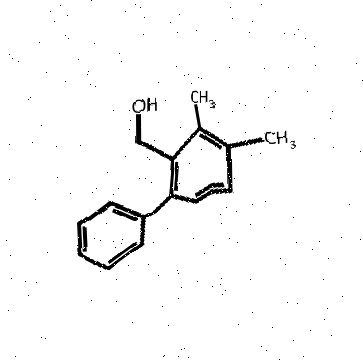 Cc1ccc(-c2ccccc2)c(CO)c1C